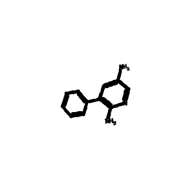 Nc1cnc(N)c(-c2ccccc2)c1